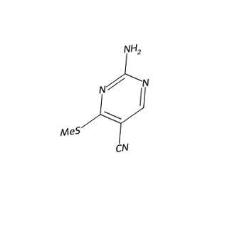 CSc1nc(N)ncc1C#N